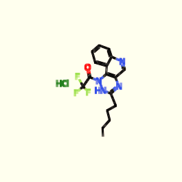 CCCCCC1=Nc2cnc3ccccc3c2N(C(=O)C(F)(F)F)N1.Cl